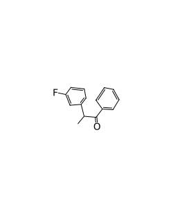 CC(C(=O)c1ccccc1)c1cccc(F)c1